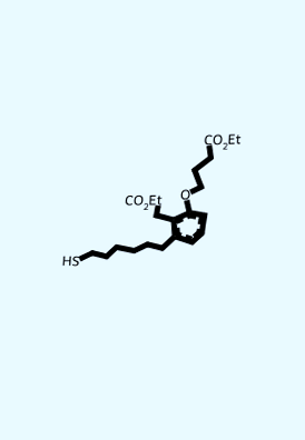 CCOC(=O)CCCOc1cccc(CCCCCCS)c1CC(=O)OCC